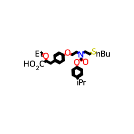 CCCCSCCN(CCOc1ccc(CC(OCC)C(=O)O)cc1)C(=O)Oc1ccc(C(C)C)cc1